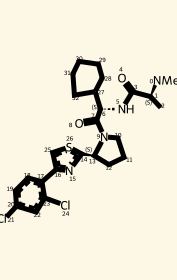 CN[C@@H](C)C(=O)N[C@H](C(=O)N1CCC[C@H]1c1nc(-c2ccc(Cl)cc2Cl)cs1)C1CCCCC1